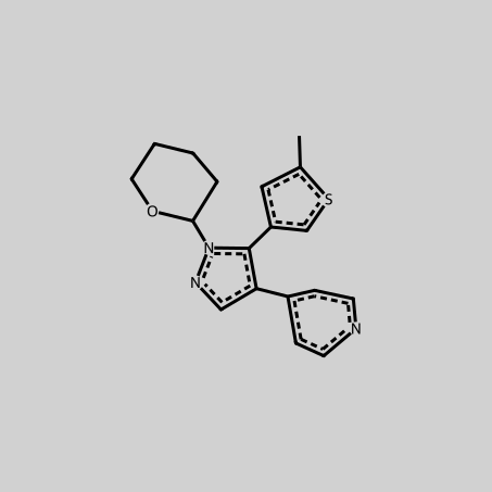 Cc1cc(-c2c(-c3ccncc3)cnn2C2CCCCO2)cs1